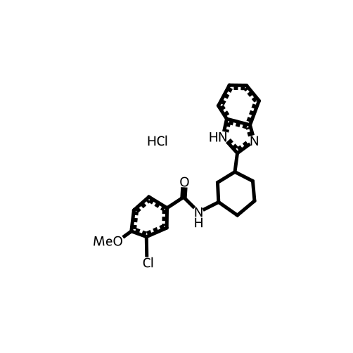 COc1ccc(C(=O)NC2CCCC(c3nc4ccccc4[nH]3)C2)cc1Cl.Cl